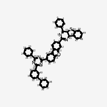 c1ccc(C2=NC(c3ccc4c(c3)oc3ccc(-c5nc(-c6ccccc6)nc(-c6cccc(-c7ccccc7)c6)n5)cc34)=NC3c4ccccc4SC23)cc1